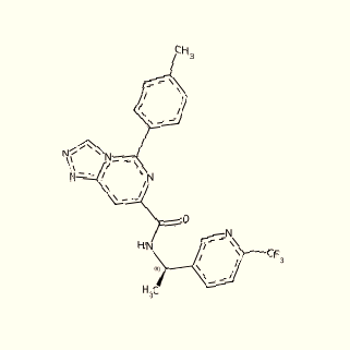 Cc1ccc(-c2nc(C(=O)N[C@H](C)c3ccc(C(F)(F)F)nc3)cc3nncn23)cc1